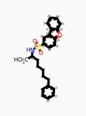 O=C(O)C(CCCCCc1ccccc1)NS(=O)(=O)c1ccc2oc3ccccc3c2c1